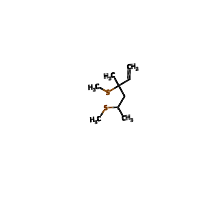 C=CC(C)(C[C](C)SC)SC